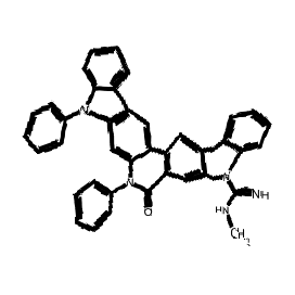 CNC(=N)n1c2ccccc2c2cc3c(cc21)c(=O)n(-c1ccccc1)c1cc2c(cc31)c1ccccc1n2-c1ccccc1